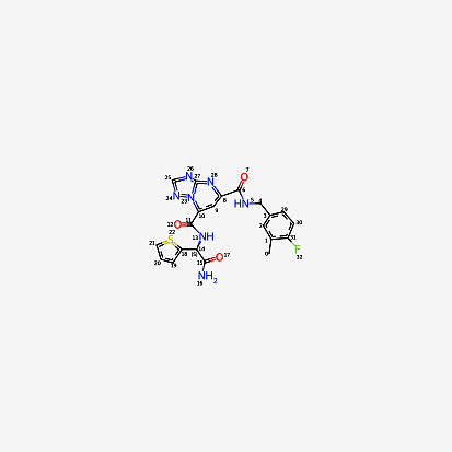 Cc1cc(CNC(=O)c2cc(C(=O)N[C@@H](C(N)=O)c3cccs3)n3ncnc3n2)ccc1F